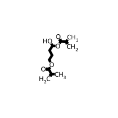 C=C(C)C(=O)OCCCC(O)OC(=O)C(=C)C